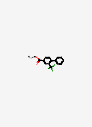 COC(=O)c1ccc(-c2ccccc2)c(C(F)(F)F)c1